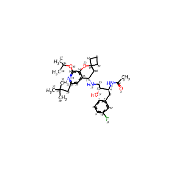 CC(=O)N[C@@H](Cc1cccc(F)c1)[C@H](O)CN[C@H]1CC2(CCC2)Oc2c1cc(CC(C)(C)C)nc2OC(C)C